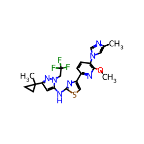 COc1nc(-c2csc(Nc3cc(C4(C)CC4)nn3CC(F)(F)F)n2)ccc1-n1cnc(C)c1